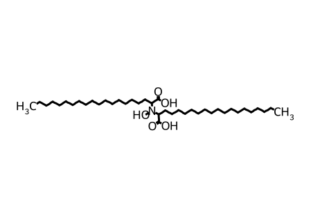 CCCCCCCCCCCCCCCCCCC(C(=O)O)N(O)C(CCCCCCCCCCCCCCCCCC)C(=O)O